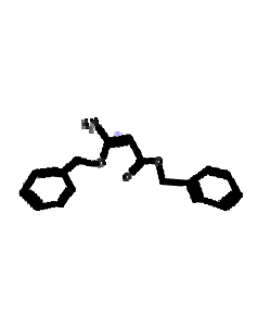 N/C(=C/C(=O)OCc1ccccc1)OCc1ccccc1